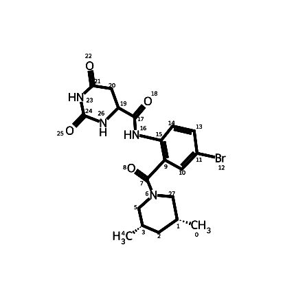 C[C@@H]1C[C@H](C)CN(C(=O)c2cc(Br)ccc2NC(=O)C2CC(=O)NC(=O)N2)C1